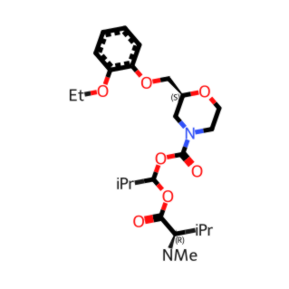 CCOc1ccccc1OC[C@@H]1CN(C(=O)OC(OC(=O)[C@H](NC)C(C)C)C(C)C)CCO1